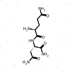 NC(=O)CC[C@H](N)C(=O)N[C@@H](CC(N)=O)C(N)=O